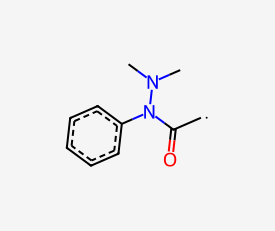 [CH2]C(=O)N(c1ccccc1)N(C)C